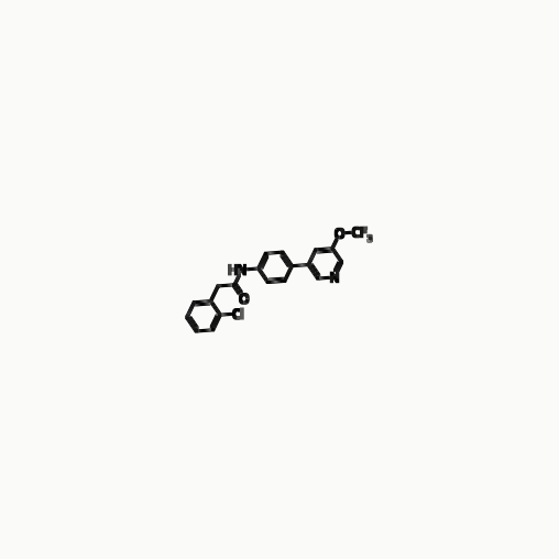 O=C(Cc1ccccc1Cl)Nc1ccc(-c2cncc(OC(F)(F)F)c2)cc1